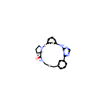 O=C1NCCCc2cccc(c2)-c2ncnc(n2)Nc2cccc(c2)CN2CCC[C@H]12